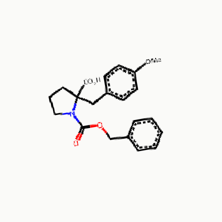 COc1ccc(CC2(C(=O)O)CCCN2C(=O)OCc2ccccc2)cc1